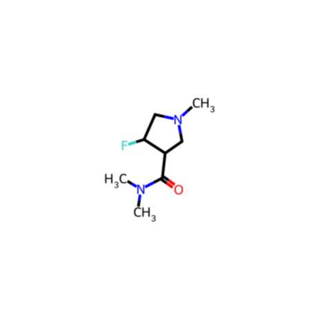 CN1CC(F)C(C(=O)N(C)C)C1